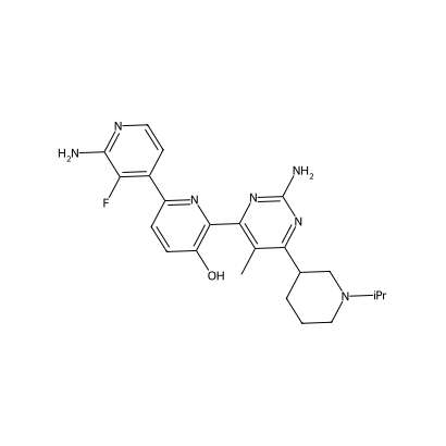 Cc1c(-c2nc(-c3ccnc(N)c3F)ccc2O)nc(N)nc1C1CCCN(C(C)C)C1